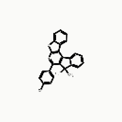 CC1(C)c2ccccc2-c2c1c(-c1ccc(Cl)cc1)nc1oc3ccccc3c21